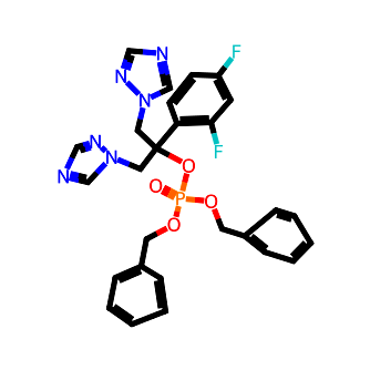 O=P(OCc1ccccc1)(OCc1ccccc1)OC(Cn1cncn1)(Cn1cncn1)c1ccc(F)cc1F